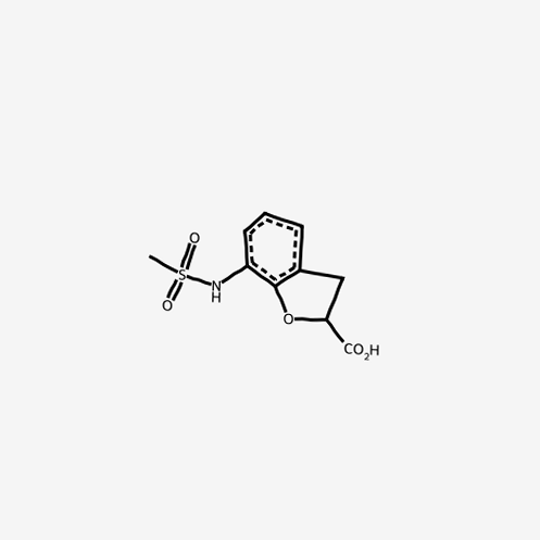 CS(=O)(=O)Nc1cccc2c1OC(C(=O)O)C2